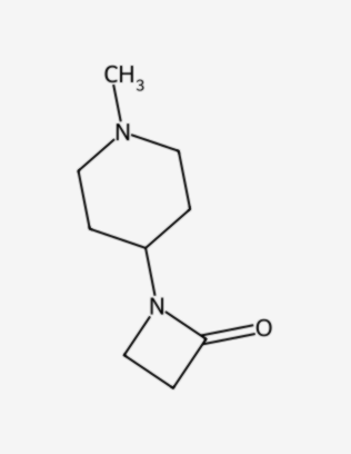 CN1CCC(N2CCC2=O)CC1